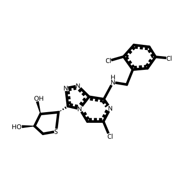 O[C@@H]1[C@H](O)CS[C@H]1c1nnc2c(NCc3cc(Cl)ccc3Cl)nc(Cl)cn12